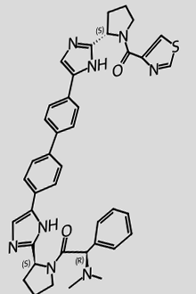 CN(C)[C@@H](C(=O)N1CCC[C@H]1c1ncc(-c2ccc(-c3ccc(-c4cnc([C@@H]5CCCN5C(=O)c5cscn5)[nH]4)cc3)cc2)[nH]1)c1ccccc1